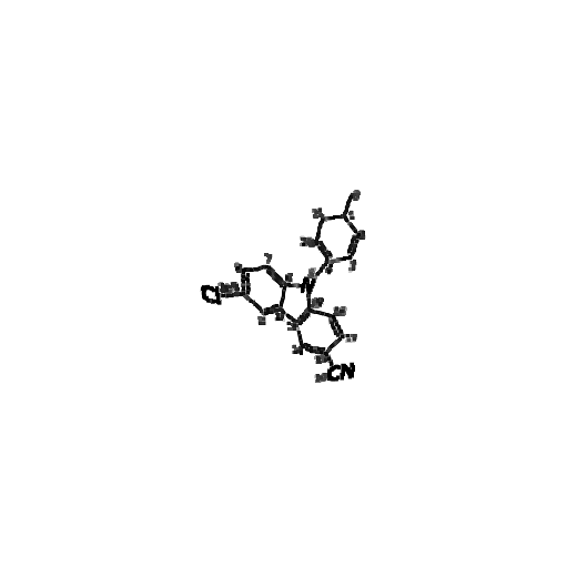 CC1C=CC(n2c3ccc(Cl)cc3c3cc(C#N)ccc32)=CC1